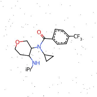 CC(C)NC1CCOCC1N(C(=O)c1ccc(C(F)(F)F)cc1)C1CC1